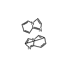 c1cc2nc3cn2cc13.c1ccn2ccnc2c1